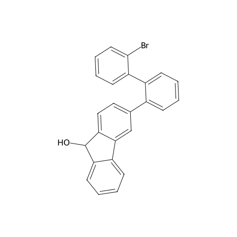 OC1c2ccccc2-c2cc(-c3ccccc3-c3ccccc3Br)ccc21